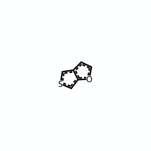 c1cc2cscc2o1